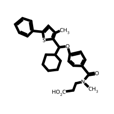 Cc1cc(-c2ccccc2)sc1C(Oc1ccc(C(=O)N(C)CCC(=O)O)cc1)C1CCCCC1